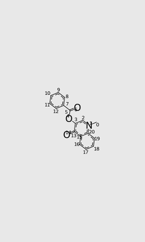 Cn1cc(OC(=O)c2ccccc2)c(=O)c2ccccc21